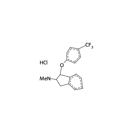 CNC1Cc2ccccc2C1Oc1ccc(C(F)(F)F)cc1.Cl